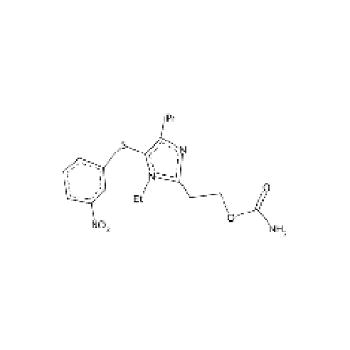 CCn1c(CCOC(N)=O)nc(C(C)C)c1Sc1cccc([N+](=O)[O-])c1